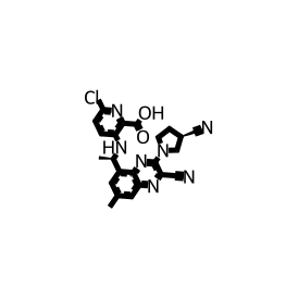 Cc1cc([C@@H](C)Nc2ccc(Cl)nc2C(=O)O)c2nc(N3CC[C@@H](C#N)C3)c(C#N)nc2c1